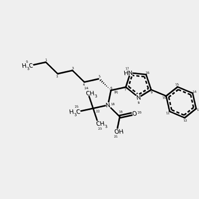 CCCCCC[C@H](c1nc(-c2ccccc2)c[nH]1)N(C(=O)O)C(C)(C)C